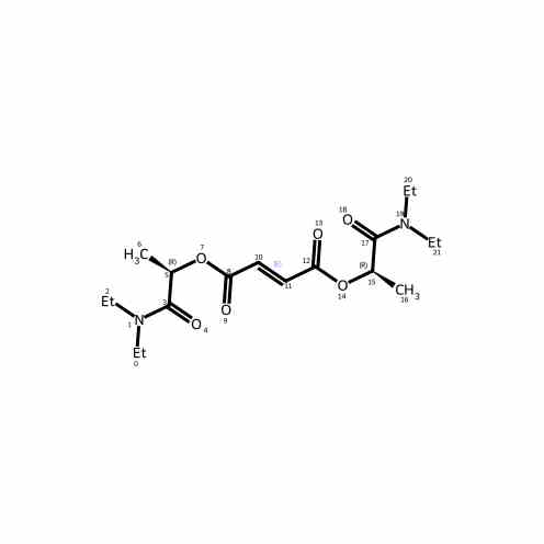 CCN(CC)C(=O)[C@@H](C)OC(=O)/C=C/C(=O)O[C@H](C)C(=O)N(CC)CC